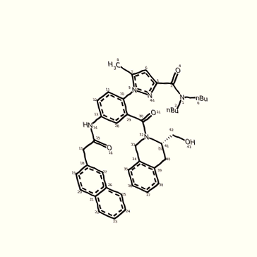 CCCCN(CCCC)C(=O)c1cc(C)n(-c2ccc(NC(=O)Cc3ccc4ccccc4c3)cc2C(=O)N2Cc3ccccc3C[C@H]2CO)n1